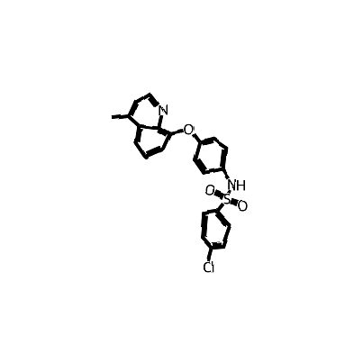 Cc1ccnc2c(Oc3ccc(NS(=O)(=O)c4ccc(Cl)cc4)cc3)cccc12